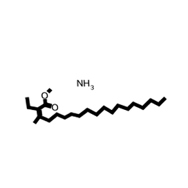 CCCCCCCCCCCCCCCCC(C)=C(CC)C(=O)OC.N